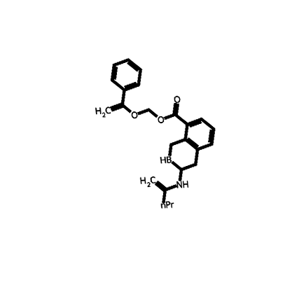 C=C(CCC)NC1BCc2c(cccc2C(=O)OCOC(=C)c2ccccc2)C1